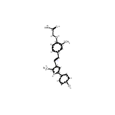 Cc1cc(/C=C/c2cc(-c3ccc(Cl)cc3)oc2C)ccc1OCC(=O)O